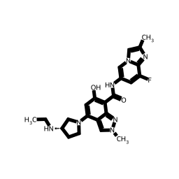 CCN[C@H]1CCN(c2cc(O)c(C(=O)Nc3cc(F)c4nc(C)cn4c3)c3nn(C)cc23)C1